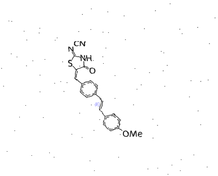 COc1ccc(/C=C/c2ccc(C=C3SC(=NC#N)NC3=O)cc2)cc1